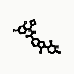 O=C1CCC(N2Cc3cc(C(=O)N[C@H](c4ccc(F)cc4Cl)C4CCC4)ccc3C2=O)C(=O)N1